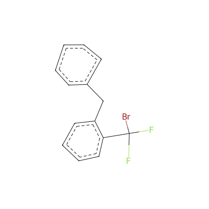 FC(F)(Br)c1ccccc1Cc1ccccc1